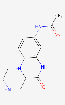 O=C1Nc2cc(NC(=O)C(F)(F)F)ccc2N2CCNCC12